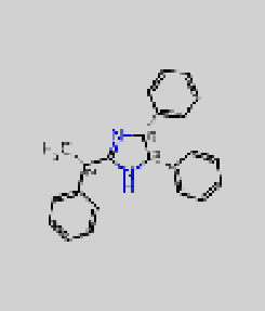 C[C@H](C1=N[C@H](c2ccccc2)[C@H](c2ccccc2)N1)c1ccccc1